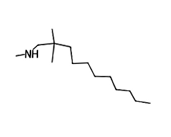 CCCCCCCCCC(C)(C)CNC